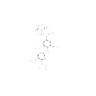 Cc1cc(C(C)N[C@H](N)C(=O)O)cc(C)c1Cc1ccc(O)c(C2CCCCC2)n1